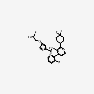 O=C(Nc1c(-c2ncccc2F)ccnc1C1CCC(F)(F)CC1)c1cc(OCC(F)F)no1